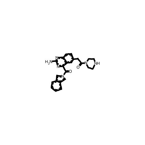 Nc1nc(C(=O)n2cc3ccccc3c2)c2cc(CC(=O)N3CCNCC3)ccc2n1